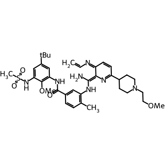 C=C/N=C1/C=CC(C2CCN(CCOC)CC2)=N/C1=C(/N)Nc1cc(C(=O)Nc2cc(C(C)(C)C)cc(NS(C)(=O)=O)c2OC)ccc1C